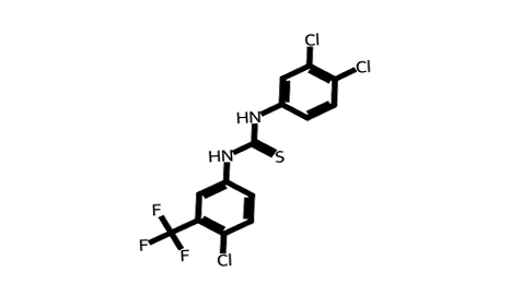 FC(F)(F)c1cc(NC(=S)Nc2ccc(Cl)c(Cl)c2)ccc1Cl